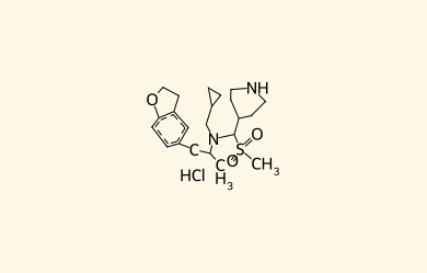 CC(Cc1ccc2c(c1)CCO2)N(CC1CC1)C(C1CCNCC1)S(C)(=O)=O.Cl